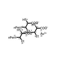 CCCCCC(CC)C(S)C(=O)[O-].CCCCCC(CC)C(S)C(=O)[O-].CCCCCC(CC)C(S)C(=O)[O-].[Au+3]